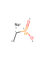 [CH2]C[PH](=O)[O-].[Na+]